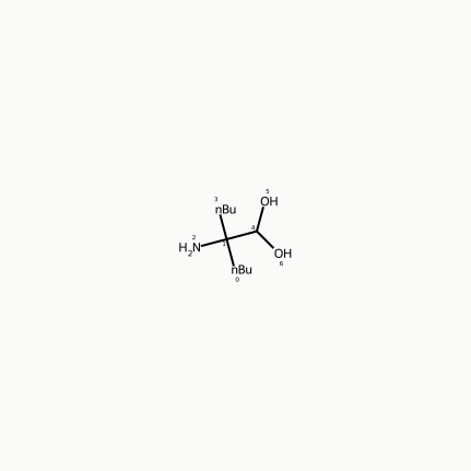 CCCCC(N)(CCCC)C(O)O